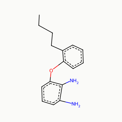 CCCCc1ccccc1Oc1cccc(N)c1N